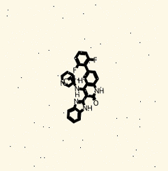 O=c1[nH]c2ccc(-c3c(F)cccc3F)cc2c(N[C@H]2CN3CCC2CC3)c1-c1nc2ccccc2[nH]1